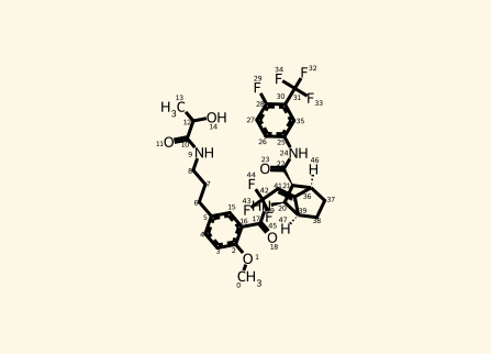 COc1ccc(CCCNC(=O)C(C)O)cc1C(=O)N[C@H]1[C@@H](C(=O)Nc2ccc(F)c(C(F)(F)F)c2)[C@H]2CC[C@@H]1/C2=C\C(F)(F)F